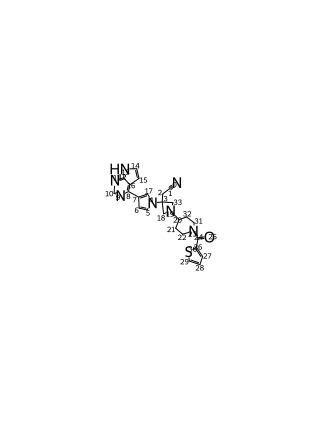 N#CCC1(n2ccc(-c3ncnc4[nH]ccc34)c2)CN(C2CCN(C(=O)c3cccs3)CC2)C1